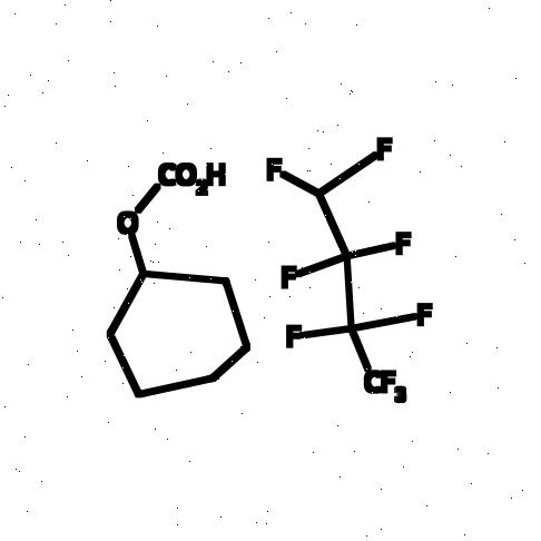 FC(F)C(F)(F)C(F)(F)C(F)(F)F.O=C(O)OC1CCCCC1